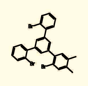 Cc1cc(Br)c(-c2cc(-c3ccccc3Br)cc(-c3ccccc3Br)c2)cc1C